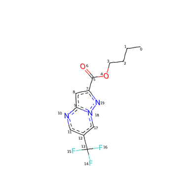 CCCCOC(=O)c1cc2ncc(C(F)(F)F)cn2n1